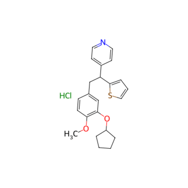 COc1ccc(CC(c2ccncc2)c2cccs2)cc1OC1CCCC1.Cl